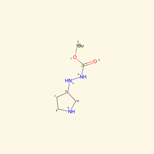 CC(C)(C)OC(=O)NNC1CCNC1